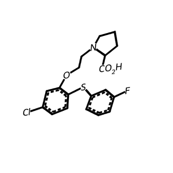 O=C(O)C1CCCN1CCOc1cc(Cl)ccc1Sc1cccc(F)c1